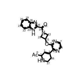 CC(=O)C1C=C(c2nccnc2OC2CN(C(=O)c3nc4ccccc4[nH]3)C2)CCN1